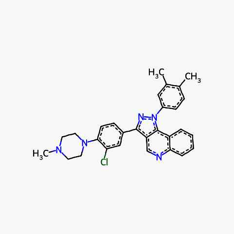 Cc1ccc(-n2nc(-c3ccc(N4CCN(C)CC4)c(Cl)c3)c3cnc4ccccc4c32)cc1C